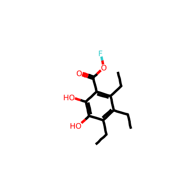 CCc1c(O)c(O)c(C(=O)OF)c(CC)c1CC